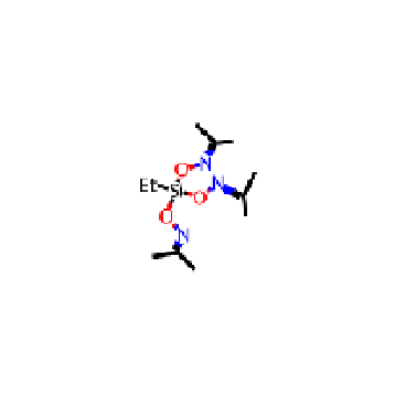 CC[Si](ON=C(C)C)(ON=C(C)C)ON=C(C)C